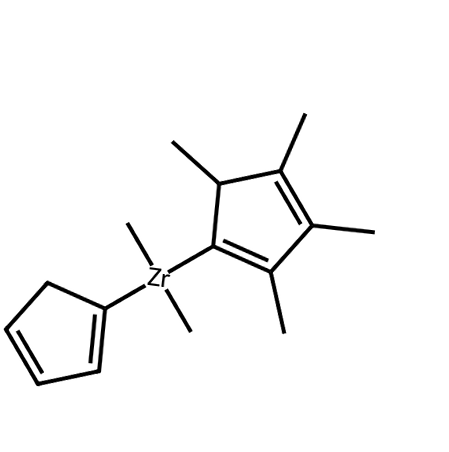 CC1=C(C)C(C)[C]([Zr]([CH3])([CH3])[C]2=CC=CC2)=C1C